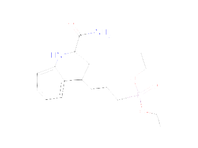 CCOP(=O)(CCCC1CC(C(N)=O)Nc2ccccc21)OCC